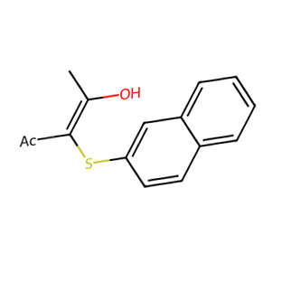 CC(=O)C(Sc1ccc2ccccc2c1)=C(C)O